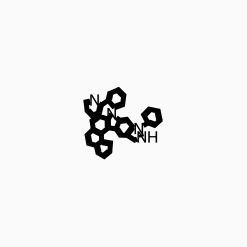 c1ccc(N2NCc3cc4c5c6c(ccc7ccccc76)ccc5n(-c5ccccc5-c5ccccn5)c4cc32)cc1